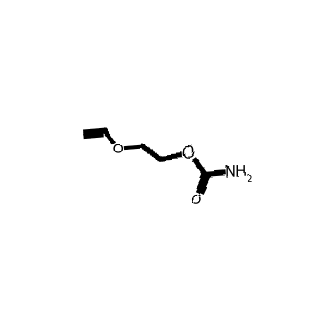 C=COCCOC(N)=O